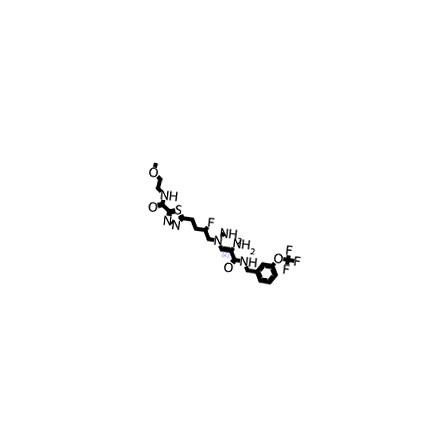 COCCNC(=O)c1nnc(CCC(F)CN(N)/C=C(\N)C(=O)NCc2cccc(OC(F)(F)F)c2)s1